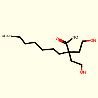 CCCCCCCCCCCCCCCCC(CCO)(CCO)C(=O)N=O